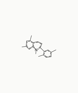 Cc1ccc(C)c(-c2ccc3c(C)cc(C)cc3[n+]2C)c1